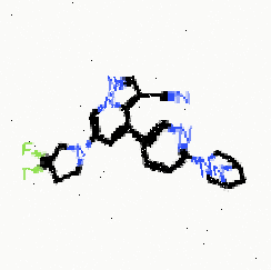 N#Cc1cnn2cc(N3CCC(F)(F)C3)cc(-c3ccc(N4CC5CC(C4)N5)nc3)c12